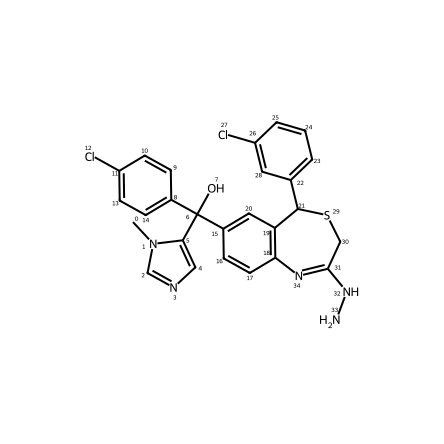 Cn1cncc1C(O)(c1ccc(Cl)cc1)c1ccc2c(c1)C(c1cccc(Cl)c1)SCC(NN)=N2